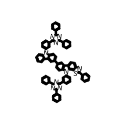 c1ccc(-c2nc(-c3ccccc3)nc(-c3cccc(-n4c5ccccc5c5cc(-c6ccc7c(c6)c6ccc8nc(-c9ccccc9)sc8c6n7-c6cccc(-c7nc(-c8ccccc8)nc(-c8ccccc8)n7)c6)ccc54)c3)n2)cc1